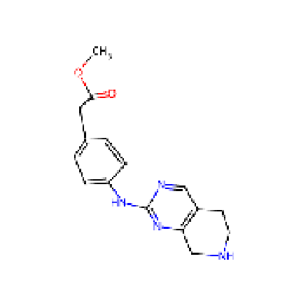 COC(=O)Cc1ccc(Nc2ncc3c(n2)CNCC3)cc1